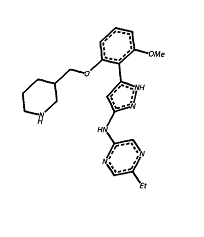 CCc1cnc(Nc2cc(-c3c(OC)cccc3OCC3CCCNC3)[nH]n2)cn1